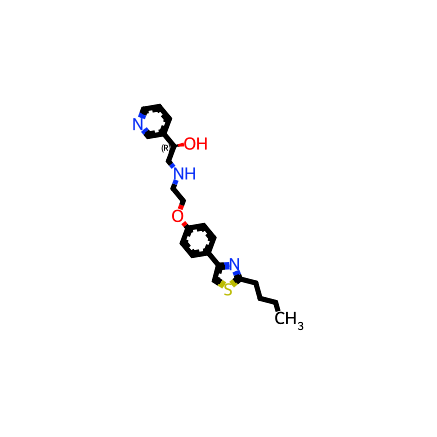 CCCCc1nc(-c2ccc(OCCNC[C@H](O)c3cccnc3)cc2)cs1